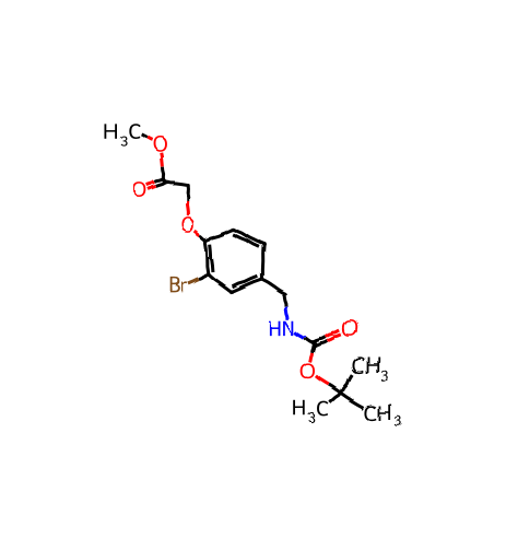 COC(=O)COc1ccc(CNC(=O)OC(C)(C)C)cc1Br